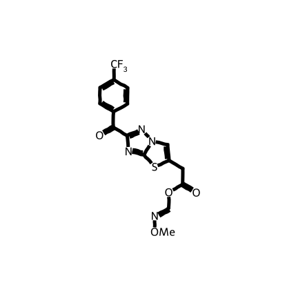 CON=COC(=O)Cc1cn2nc(C(=O)c3ccc(C(F)(F)F)cc3)nc2s1